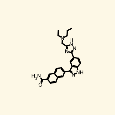 CCCN(CC)Cc1nc(-c2ccc3[nH]nc(-c4ccc5cc(C(N)=O)ccc5c4)c3c2)n[nH]1